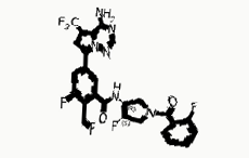 Nc1ncnn2c(-c3cc(F)c(CF)c(C(=O)N[C@@H]4CN(C(=O)c5ccccc5F)C[C@@H]4F)c3)cc(C(F)(F)F)c12